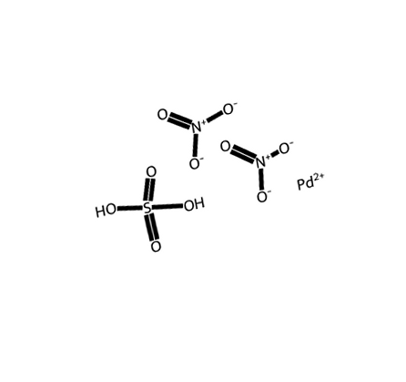 O=S(=O)(O)O.O=[N+]([O-])[O-].O=[N+]([O-])[O-].[Pd+2]